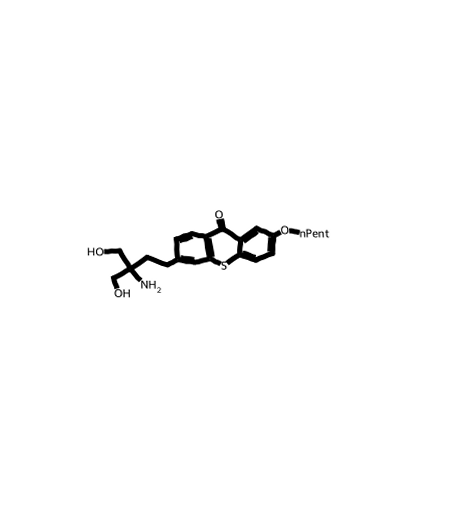 CCCCCOc1ccc2sc3cc(CCC(N)(CO)CO)ccc3c(=O)c2c1